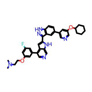 CN(C)CCOc1cc(F)cc(-c2cncc3[nH]c(-c4n[nH]c5ccc(-c6cncc(OC7CCCCC7)c6)cc45)cc23)c1